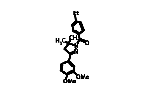 CCc1ccc(C(=O)N2N=C(c3ccc(OC)c(OC)c3)CC2(C)C)cc1